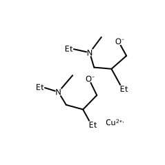 CCC(C[O-])CN(C)CC.CCC(C[O-])CN(C)CC.[Cu+2]